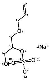 C=CCOCC(CO)OS(=O)(=O)[O-].[Na+]